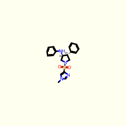 Cn1cnc(S(=O)(=O)N2C[C@@H](Nc3ccccc3)[C@H](c3ccccc3)C2)c1